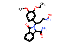 CCOc1cc(C(CCNO)N2C(=O)c3[c]cccc3C2C(N)=O)ccc1OC